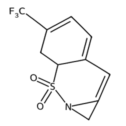 O=S1(=O)C2CC(C(F)(F)F)=CC=C2C=C2CN21